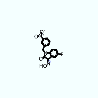 O=C1/C(=N\O)c2cc(F)ccc2N1Cc1cccc([N+](=O)[O-])c1